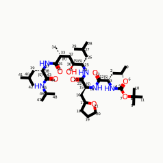 CCC[C@H](NC(=O)OC(C)(C)C)C(=O)N[C@@H](CC1CCCO1)C(=O)N[C@@H](CC(C)C)[C@@H](O)C[C@@H](C)C(=O)N[C@@H](CC(C)C)C(=O)NC(C)C